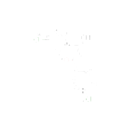 CC(=CC(=O)c1ccc(Cl)cc1)c1ccc(Cl)cc1